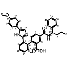 CCC[C@@H](NC(=O)c1ccc(-c2c(Cl)cccc2-c2ncc(-c3ccc(OC)cc3)[nH]2)c(C(=O)O)c1)c1ccccc1